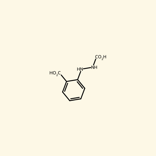 O=C(O)NNc1ccccc1C(=O)O